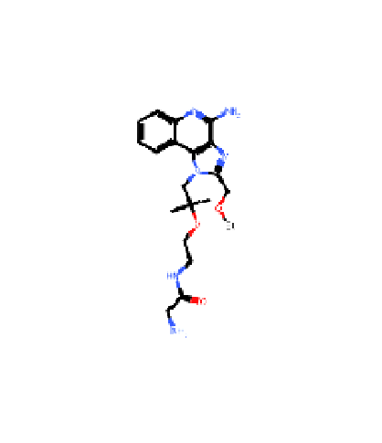 CCOCc1nc2c(N)nc3ccccc3c2n1CC(C)(C)OCCNC(=O)CN